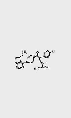 CCC1CCc2ncnc(N3CCN(C(=O)C(CNC(C)C)c4ccc(Cl)cc4)CC3)c21